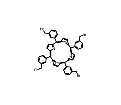 BrCc1cccc(C2=C3C=CC(=N3)C(c3cccc(CBr)c3)=C3C=CC(=N3)C(c3cccc(CBr)c3)=C3C=CC(=N3)C(c3cccc(CBr)c3)=C3C=CC2=N3)c1